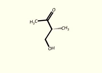 CC(=O)[C@H](C)CO